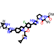 COC(=O)N[C@H](C(=O)N1CCC[C@H]1c1ncc(-c2cc(F)c3c(c2)OC(c2cnc(C4CC4)s2)n2c-3cc3cc(-c4cnc([C@@H]5C[C@H]6C[C@H]6N5)[nH]4)ccc32)[nH]1)C(C)C